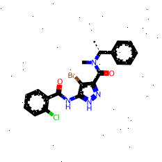 C[C@H](c1ccccc1)N(C)C(=O)c1n[nH]c(NC(=O)c2ccccc2Cl)c1Br